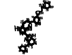 c1ccc(-c2cncc3[nH]c(-c4n[nH]c5ccc(-c6cncc(OCCN7CCCC7)c6)nc45)nc23)nc1